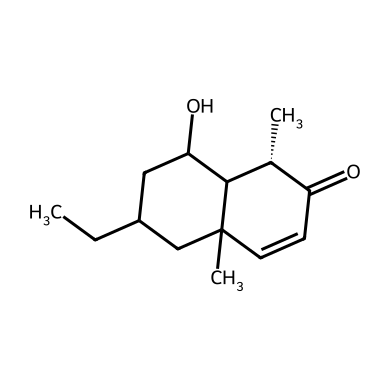 CCC1CC(O)C2[C@H](C)C(=O)C=CC2(C)C1